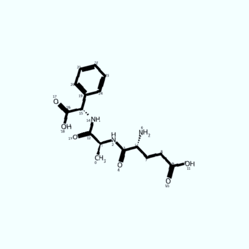 C[C@H](NC(=O)[C@H](N)CCC(=O)O)C(=O)N[C@H](C(=O)O)c1ccccc1